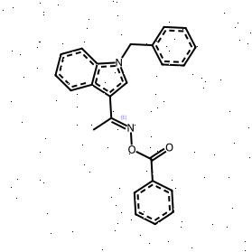 C/C(=N\OC(=O)c1ccccc1)c1cn(Cc2ccccc2)c2ccccc12